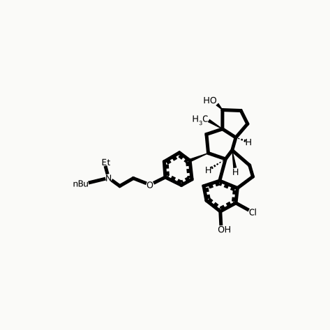 CCCCN(CC)CCOc1ccc([C@H]2C[C@]3(C)[C@@H](O)CC[C@H]3[C@@H]3CCc4c(ccc(O)c4Cl)[C@H]32)cc1